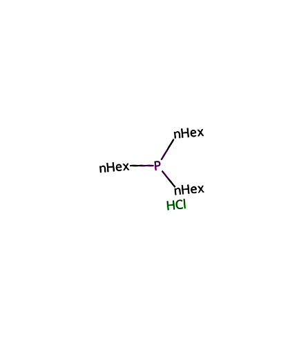 CCCCCCP(CCCCCC)CCCCCC.Cl